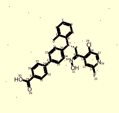 Cc1ccccc1[C@H](CC(=NO)c1cc(F)ncc1Cl)c1ccc(-c2ccc(C(=O)O)cc2)cc1